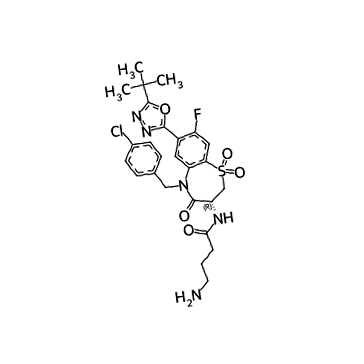 CC(C)(C)c1nnc(-c2cc3c(cc2F)S(=O)(=O)C[C@H](NC(=O)CCCN)C(=O)N3Cc2ccc(Cl)cc2)o1